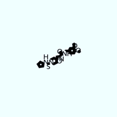 COc1ccc(CNC(=O)C2=NOC3(CCN(C(=S)NC4CCCC4)CC3)C2)cc1OC